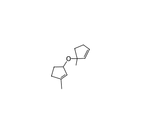 CC1=CC(OC2(C)C=CCC2)CC1